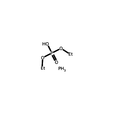 CCOP(=O)(O)OCC.P